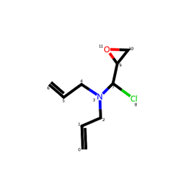 C=CCN(CC=C)C(Cl)C1CO1